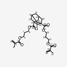 C=C(C)C(=O)OCCCOC(=O)C12CC3CC(C1)CC(C(=O)OCCCOC(=O)C(=C)C)(C3)C2